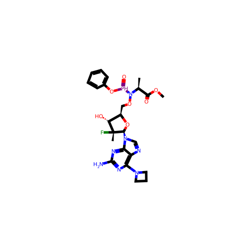 COC(=O)[C@H](C)N(OC[C@H]1O[C@@H](n2cnc3c(N4CCC4)nc(N)nc32)[C@](C)(F)[C@@H]1O)[PH](=O)Oc1ccccc1